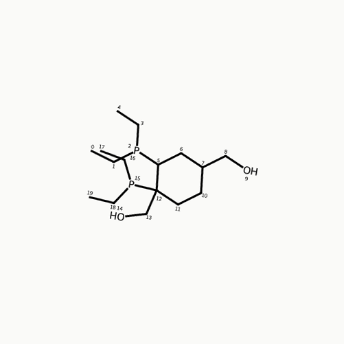 CCP(CC)C1CC(CO)CCC1(CO)P(CC)CC